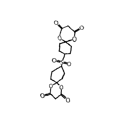 O=C1CC(=O)OC2(CCC(S(=O)(=O)C3CCC4(CC3)OC(=O)CC(=O)O4)CC2)O1